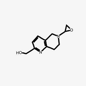 OCc1ccc2c(n1)CCN(C1CO1)C2